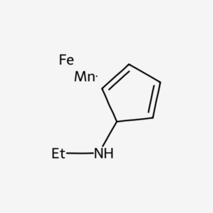 CCNC1C=CC=C1.[Fe].[Mn]